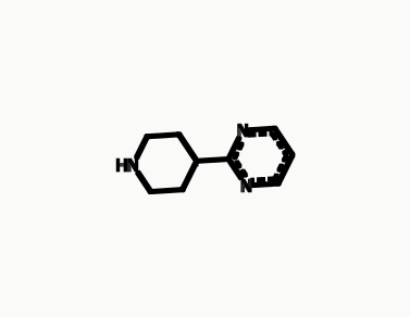 c1cnc([C]2CCNCC2)nc1